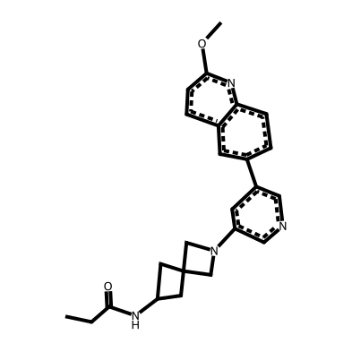 CCC(=O)NC1CC2(C1)CN(c1cncc(-c3ccc4nc(OC)ccc4c3)c1)C2